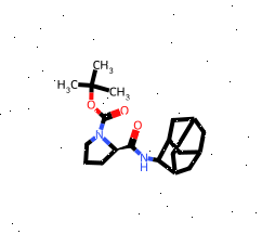 CC(C)(C)OC(=O)N1CCC[C@@H]1C(=O)NC1C2CC3CC(C2)CC1C3